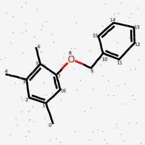 Cc1cc(C)c(C)c(OCc2ccccc2)c1